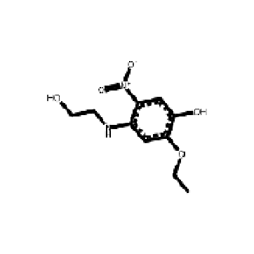 CCOc1cc(NCCO)c([N+](=O)[O-])cc1O